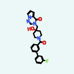 O=C(c1cccc(-c2cccc(F)c2)c1)N1CCC(O)(Cn2cnn3cccc3c2=O)CC1